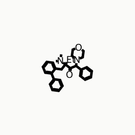 CCC(Cc1ccccc1-c1ccccc1)(C(=O)C(c1ccccc1)N1CCOCC1)N(C)C